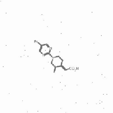 CC1CN(c2ncc(Br)cn2)CCC1=CC(=O)O